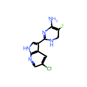 NC1=C(F)CNC(c2c[nH]c3ncc(Cl)cc23)=N1